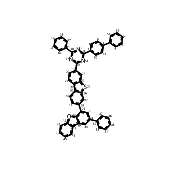 c1ccc(-c2ccc(-c3nc(-c4ccccc4)nc(-c4ccc5c(c4)sc4cc(-c6cc(-c7ccccc7)cc7c6oc6ccccc67)ccc45)n3)cc2)cc1